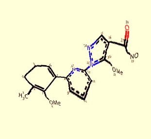 COC1=C(C)CCC=C1c1cccc(-n2ncc(C(=O)N=O)c2OC)n1